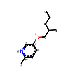 CCCC(C)COc1ccc(C)nc1